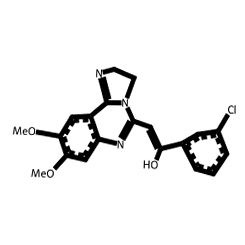 COc1cc2c(cc1OC)C1=NCCN1C(/C=C(\O)c1cccc(Cl)c1)=N2